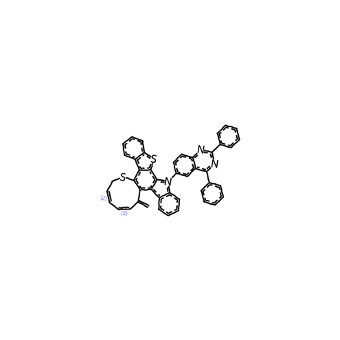 C=C1/C=C\C=C/CSc2c1c1c3ccccc3n(-c3ccc4nc(-c5ccccc5)nc(-c5ccccc5)c4c3)c1c1sc3ccccc3c21